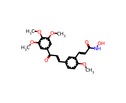 COc1ccc(/C=C/C(=O)c2cc(OC)c(OC)c(OC)c2)cc1/C=C/C(=O)NO